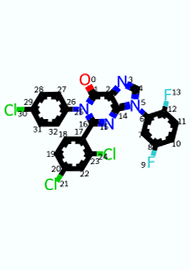 O=c1c2ncn(-c3cc(F)ccc3F)c2nc(-c2ccc(Cl)cc2Cl)n1-c1ccc(Cl)cc1